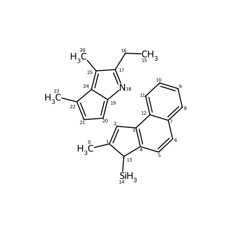 CC1=Cc2c(ccc3ccccc23)C1[SiH3].CCC1=NC2=CC=C(C)C2=C1C